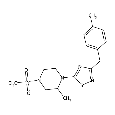 Cc1ccc(Cc2nsc(N3CCN(S(=O)(=O)C(Cl)(Cl)Cl)CC3C)n2)cc1